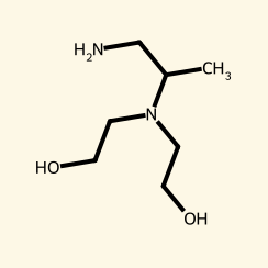 CC(CN)N(CCO)CCO